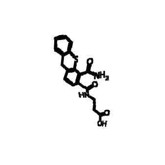 NC(=O)c1c(C(=O)NCCC(=O)O)ccc2c1Sc1ccccc1C2